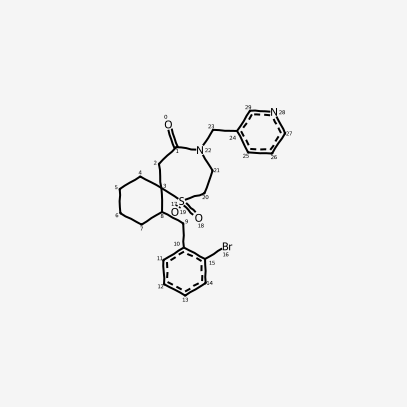 O=C1CC2(CCCCC2Cc2ccccc2Br)S(=O)(=O)CCN1Cc1cccnc1